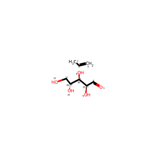 C=CC.O=C[C@@H](O)[C@H](O)[C@H](O)CO